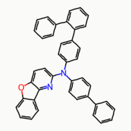 c1ccc(-c2ccc(N(c3ccc(-c4ccccc4-c4ccccc4)cc3)c3ccc4oc5ccccc5c4n3)cc2)cc1